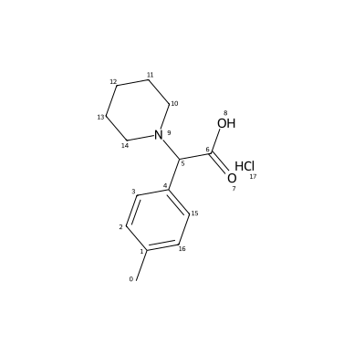 Cc1ccc(C(C(=O)O)N2CCCCC2)cc1.Cl